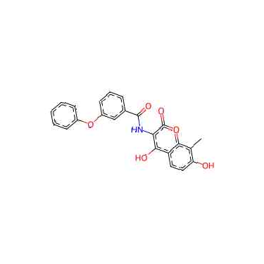 Cc1c(O)ccc2c(O)c(NC(=O)c3cccc(Oc4ccccc4)c3)c(=O)oc12